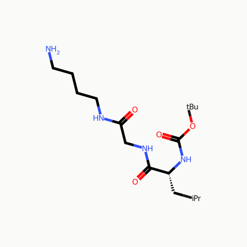 CC(C)C[C@@H](NC(=O)OC(C)(C)C)C(=O)NCC(=O)NCCCCN